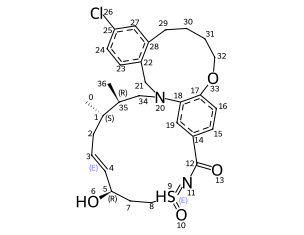 C[C@H]1C/C=C/[C@H](O)CC/[SH](=O)=N\C(=O)c2ccc3c(c2)N(Cc2ccc(Cl)cc2CCCCO3)C[C@@H]1C